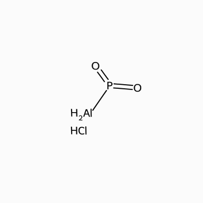 Cl.O=[P](=O)[AlH2]